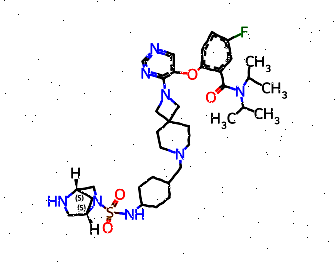 CC(C)N(C(=O)c1cc(F)ccc1Oc1cncnc1N1CC2(CCN(CC3CCC(NS(=O)(=O)N4C[C@@H]5C[C@H]4CN5)CC3)CC2)C1)C(C)C